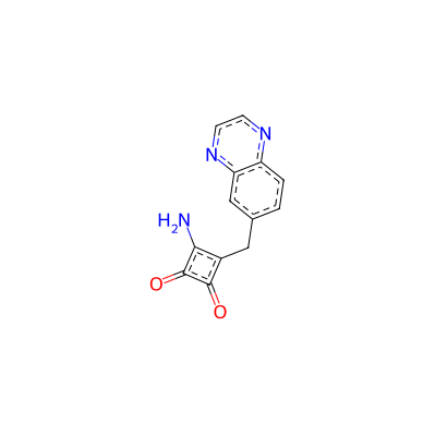 Nc1c(Cc2ccc3nccnc3c2)c(=O)c1=O